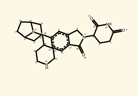 O=C1CCC(N2Cc3cc(N4CC5CCC(C4)N5CC4CCNCC4)ccc3C2=O)C(=O)N1